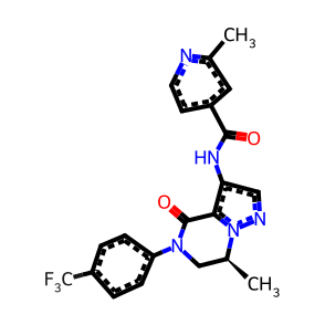 Cc1cc(C(=O)Nc2cnn3c2C(=O)N(c2ccc(C(F)(F)F)cc2)C[C@@H]3C)ccn1